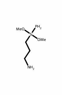 CO[Si](P)(CCCN)OC